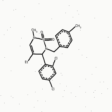 CCC1=CN(C)S(=O)(=O)N(Cc2ccc(C)cc2)C1c1ccc(Cl)cc1Cl